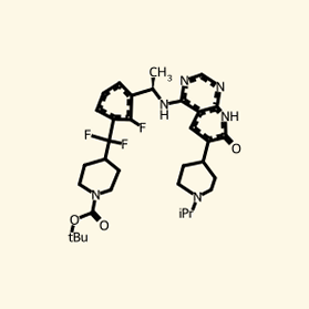 CC(C)N1CCC(c2cc3c(N[C@H](C)c4cccc(C(F)(F)C5CCN(C(=O)OC(C)(C)C)CC5)c4F)ncnc3[nH]c2=O)CC1